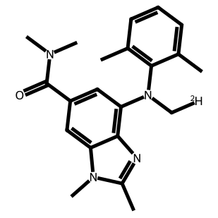 [2H]CN(c1c(C)cccc1C)c1cc(C(=O)N(C)C)cc2c1nc(C)n2C